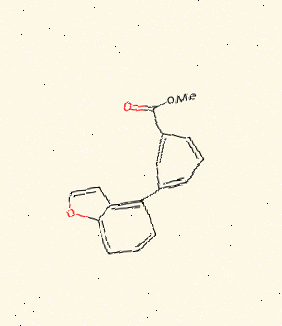 COC(=O)c1cccc(-c2cccc3occc23)c1